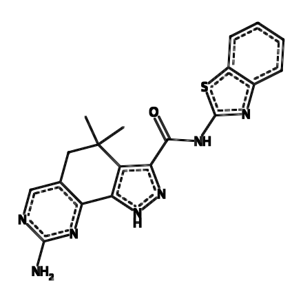 CC1(C)Cc2cnc(N)nc2-c2[nH]nc(C(=O)Nc3nc4ccccc4s3)c21